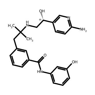 CC(C)(Cc1cccc(C(=O)Nc2cccc(O)c2)c1)NC[C@H](O)c1ccc(N)nc1